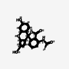 O=C(I)Nc1cccc2c1C(=O)OC21c2ccc(O)cc2Oc2cc(O)ccc21